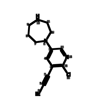 CCC#Cc1cc(N2CCCNCC2)cnc1Cl